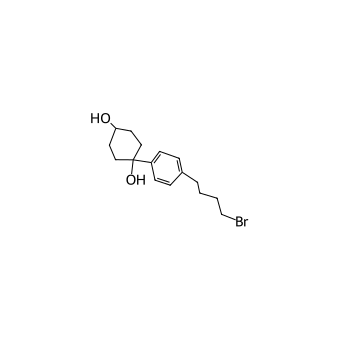 OC1CCC(O)(c2ccc(CCCCBr)cc2)CC1